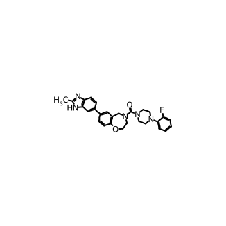 Cc1nc2ccc(-c3ccc4c(c3)CN(C(=O)N3CCN(c5ccccc5F)CC3)CCO4)cc2[nH]1